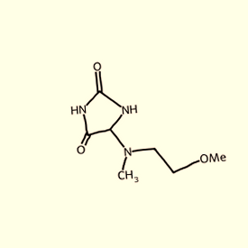 COCCN(C)C1NC(=O)NC1=O